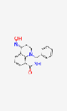 O=C1NC(c2ccccc2)N2CCC(=NO)c3cccc1c32